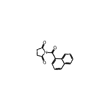 O=C1CCC(=O)N1C(=O)c1cccc2ccccc12